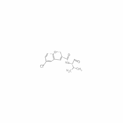 CC(C)C(C=O)NC(=O)C1=Cc2cc(Cl)ccc2OC1